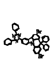 Brc1ccc2c(c1)C(c1ccccc1)(c1ccccc1)c1cc(Br)cc3c4cc(-c5nc(-c6ccccc6)nc(-c6ccccc6)n5)ccc4n-2c13